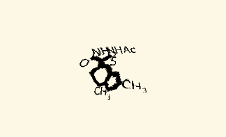 CC(=O)Nc1sc2c(c1C(N)=O)CCC(C)c1ccc(C)cc1-2